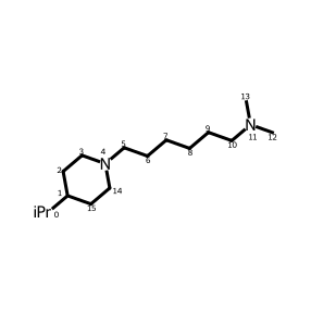 CC(C)C1CCN(CCCCCCN(C)C)CC1